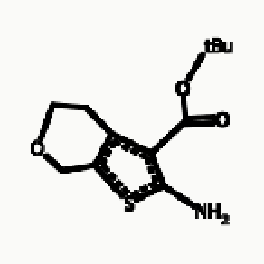 CC(C)(C)OC(=O)c1c(N)sc2c1CCOC2